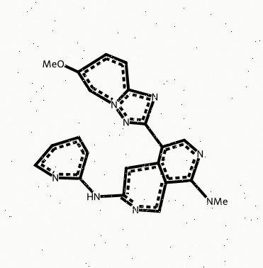 CNc1ncc(-c2nc3ccc(OC)cn3n2)c2cc(Nc3ccccn3)ncc12